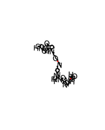 CN(CCCOCCCNc1cccc2c1C(=O)N(C1CCC(=O)NC1=O)C2=O)Cc1ccc(-n2cc(NC(=O)c3cnn4ccc(N5C[C@H]6C[C@@H]5CO6)nc34)c(C(F)F)n2)cc1